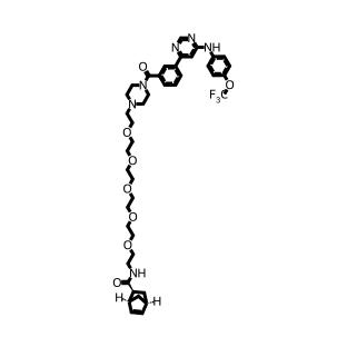 O=C(NCCOCCOCCOCCOCCOCCN1CCN(C(=O)c2cccc(-c3cc(Nc4ccc(OC(F)(F)F)cc4)ncn3)c2)CC1)[C@H]1C[C@H]2C=C[C@@H]1C2